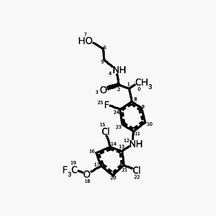 CC(C(=O)NCCO)c1ccc(Nc2c(Cl)cc(OC(F)(F)F)cc2Cl)cc1F